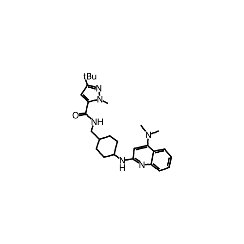 CN(C)c1cc(NC2CCC(CNC(=O)c3cc(C(C)(C)C)nn3C)CC2)nc2ccccc12